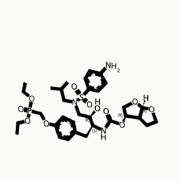 CCOP(=O)(COc1ccc(C[C@H](NC(=O)O[C@H]2CO[C@H]3OCCC32)[C@H](O)CN(CC(C)C)S(=O)(=O)c2ccc(N)cc2)cc1)OCC